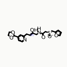 O=C(C[S+]([O-])Cc1ccco1)NC/C(O)=C/Cc1cc(C2OCCO2)ccn1